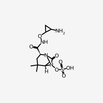 CC1(C)C[C@@H](C(=O)NOC2CC2N)N2C[C@@H]1N(OS(=O)(=O)O)C2=O